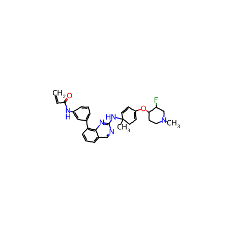 C=CC(=O)Nc1cccc(-c2cccc3cnc(NC4(C)C=CC(OC5CCN(C)CC5F)=CC4)nc23)c1